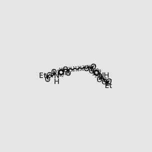 CCC(=O)OCC(=O)Nc1ccc(OC(=O)CCCCCCCOCC(=O)Oc2ccc(NC(=O)COC(=O)CC)cc2)cc1